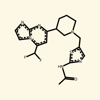 CC(=O)Nc1ncc(CN2CCCC(c3cc(C(F)F)n4ccnc4n3)C2)s1